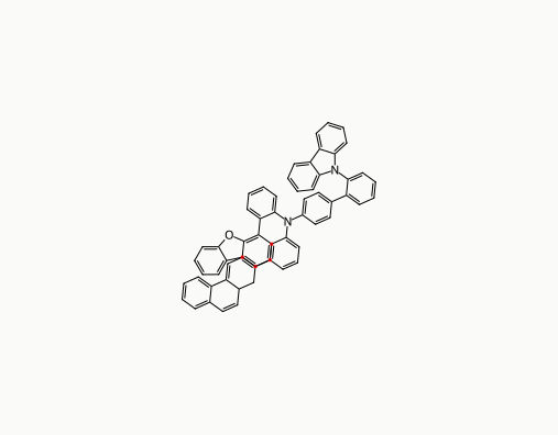 C1=CC2CC(c3cccc(N(c4ccc(-c5ccccc5-n5c6ccccc6c6ccccc65)cc4)c4ccccc4-c4cccc5c4oc4ccccc45)c3)=CC=C2c2ccccc21